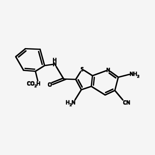 N#Cc1cc2c(N)c(C(=O)Nc3ccccc3C(=O)O)sc2nc1N